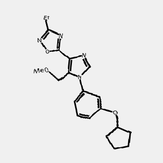 CCc1noc(-c2ncn(-c3cccc(OC4CCCC4)c3)c2COC)n1